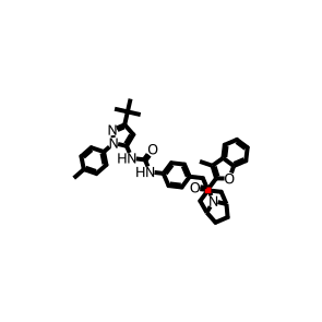 Cc1ccc(-n2nc(C(C)(C)C)cc2NC(=O)Nc2ccc(CC3CC4CCC(C3)N4C(=O)c3oc4ccccc4c3C)cc2)cc1